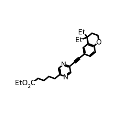 CCOC(=O)CCCCc1cnc(C#Cc2ccc3c(c2)C(CC)(CC)CCO3)cn1